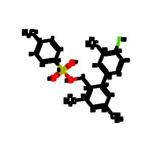 Cc1ccc(S(=O)(=O)OCc2c(C)cc(C)cc2-c2ccc(F)c(C)c2)cc1